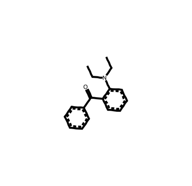 CCN(CC)c1ccccc1C(=O)c1ccccc1